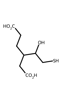 O=C(O)CCC(CC(=O)O)C(O)CS